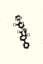 N#CC1(Cl)CC(c2ccccc2)=CC=C1C(=O)Nc1cnc(-n2nccn2)c(Cl)c1